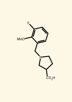 COc1c(F)cccc1CN1CCC(C(=O)O)C1